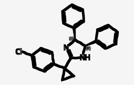 Clc1ccc(C2(C3=N[C@@H](c4ccccc4)[C@@H](c4ccccc4)N3)CC2)cc1